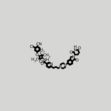 CC1(C)[C@H](NC(=O)c2ccc(CCCN3CCN(c4ccc5c(c4)CN(C4CCC(=O)NC4=O)C5=O)CC3)nc2)C(C)(C)[C@H]1Oc1ccc(C#N)c(Cl)c1